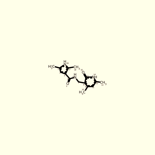 Cc1cc(C(=O)NCc2c(C)cc(C)[nH]c2=O)c(C)[nH]1